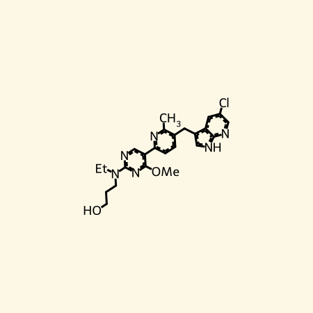 CCN(CCCO)c1ncc(-c2ccc(Cc3c[nH]c4ncc(Cl)cc34)c(C)n2)c(OC)n1